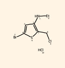 CCNc1cc(Br)sc1CCl.Cl